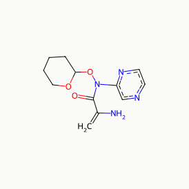 C=C(N)C(=O)N(OC1CCCCO1)c1cnccn1